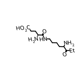 CCC(=O)C(N)CCCCNC(=O)[C@@H](N)CCC(=O)O